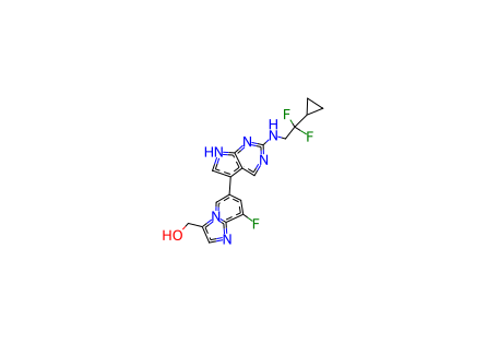 OCc1cnc2c(F)cc(-c3c[nH]c4nc(NCC(F)(F)C5CC5)ncc34)cn12